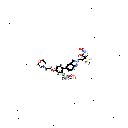 C[C@@](CCn1cc2cc(-c3ccc(OCCN4CCOCC4)cc3F)ccc2n1)(C(=O)NO)S(C)(=O)=O.O=CO.O=CO